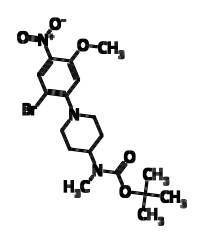 COc1cc(N2CCC(N(C)C(=O)OC(C)(C)C)CC2)c(Br)cc1[N+](=O)[O-]